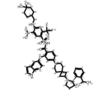 CC(C)c1ccccc1[C@H]1CCCN1C1CC2(CCN(c3ccc(C(=O)NS(=O)(=O)c4cc([N+](=O)[O-])c(NCC5CCC(C)(O)CC5)nc4C(F)(F)F)c(Oc4cnc5[nH]ccc5c4)c3)CC2)C1